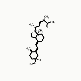 [2H]O[C@@]1([2H])CCC(=C)C(=CC=C2CCC[C@@]3(C)C2CC[C@@H]3[C@H](C)C=C[C@H](C)C(C)C)C1